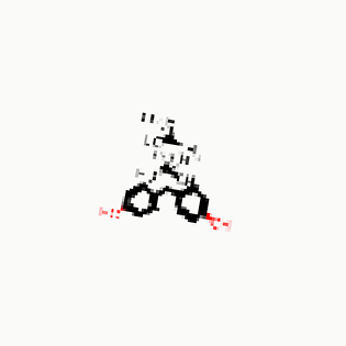 C=C(C)C(=O)O.C=C(C)C(=O)O.Oc1ccc(Cc2ccc(O)cc2)cc1